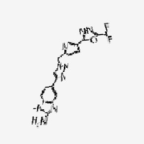 Cn1c(N)nc2cc(-c3cn(Cc4ccc(-c5nnc(C(F)F)o5)cn4)nn3)ccc21